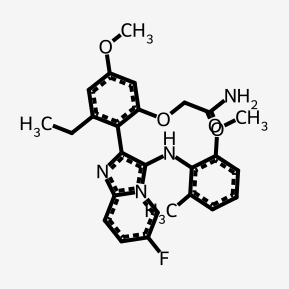 CCc1cc(OC)cc(OCC(N)=O)c1-c1nc2ccc(F)cn2c1Nc1c(C)cccc1OC